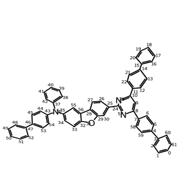 c1ccc(-c2ccc(-c3cc(-c4ccc(-c5ccccc5)cc4)nc(-c4ccc5c(c4)oc4ccc(N(c6ccccc6)c6ccc(-c7ccccc7)cc6)cc45)n3)cc2)cc1